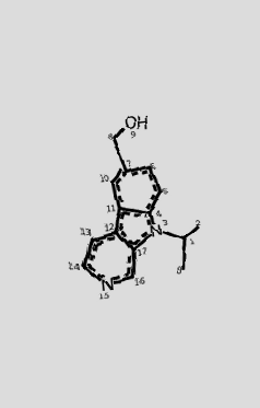 CC(C)n1c2ccc(CO)cc2c2ccncc21